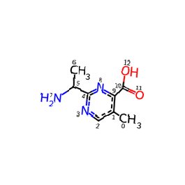 Cc1cnc(C(C)N)nc1C(=O)O